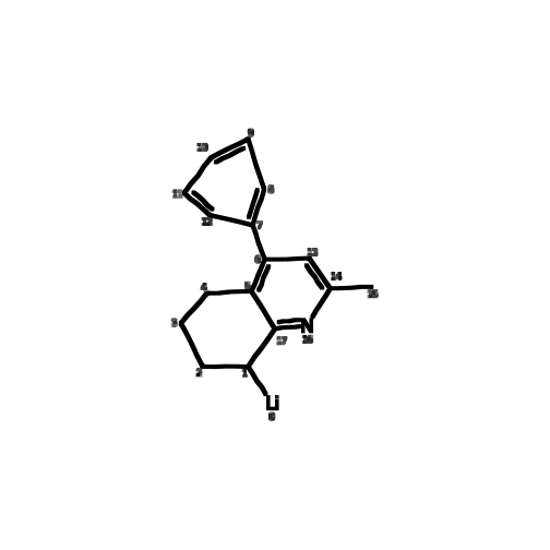 [Li][CH]1CCCc2c(-c3ccccc3)cc(C)nc21